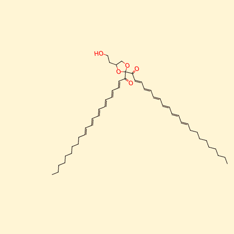 CCCCCCCCCC=CC=CC=CC=CC=CC=CC(=O)C1(C(=O)C=CC=CC=CC=CC=CC=CCCCCCCCCC)OCC(CCO)O1